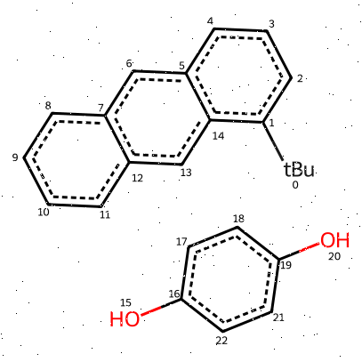 CC(C)(C)c1cccc2cc3ccccc3cc12.Oc1ccc(O)cc1